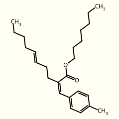 CCCCC=CCCC(=Cc1ccc(C)cc1)C(=O)OCCCCCCC